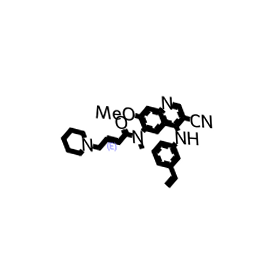 C=Cc1cccc(Nc2c(C#N)cnc3cc(OC)c(N(C)C(=O)/C=C/CN4CCCCC4)cc23)c1